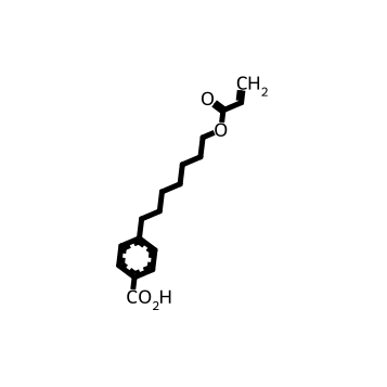 C=CC(=O)OCCCCCCCc1ccc(C(=O)O)cc1